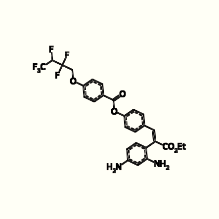 CCOC(=O)C(=Cc1ccc(OC(=O)c2ccc(OCC(F)(F)C(F)C(F)(F)F)cc2)cc1)c1ccc(N)cc1N